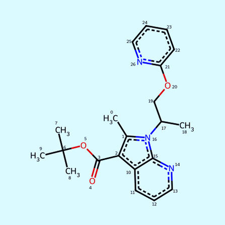 Cc1c(C(=O)OC(C)(C)C)c2cccnc2n1C(C)COc1ccccn1